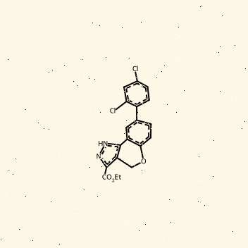 CCOC(=O)c1n[nH]c2c1COc1ccc(-c3ccc(Cl)cc3Cl)cc1-2